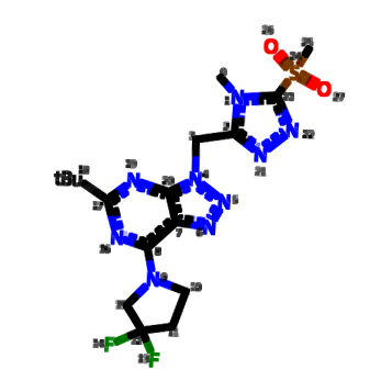 Cn1c(Cn2nnc3c(N4CCC(F)(F)C4)nc(C(C)(C)C)nc32)nnc1S(C)(=O)=O